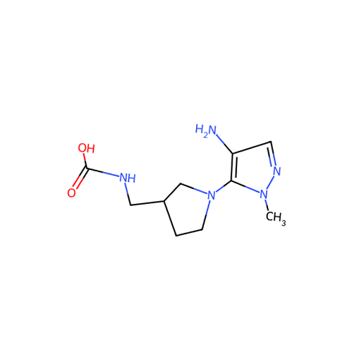 Cn1ncc(N)c1N1CCC(CNC(=O)O)C1